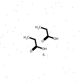 CCC(=O)O.CCC(=O)O.[S]